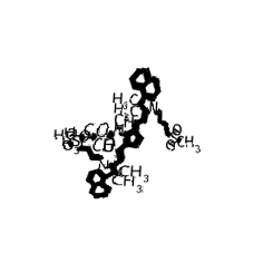 CN(C(=O)OC(C)(C)C)C1=C(/C=C/C2=[N+](CCCCS(=O)(=O)O)c3ccc4ccccc4c3C2(C)C)C=C/C1=C\C=C1\N(CCCCS(C)(=O)=O)c2ccc3ccccc3c2C1(C)C